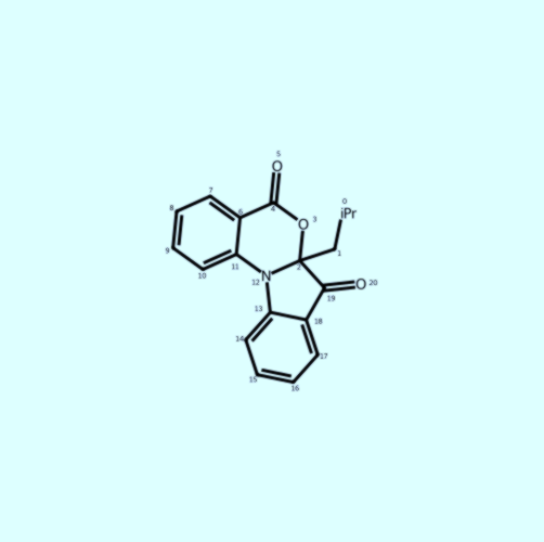 CC(C)CC12OC(=O)c3ccccc3N1c1ccccc1C2=O